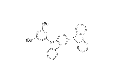 CC(C)(C)c1cc(-n2c3ccccc3c3cc(-n4c5ccccc5c5ccccc54)ccc32)cc(C(C)(C)C)c1